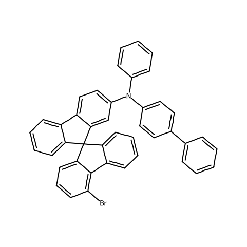 Brc1cccc2c1-c1ccccc1C21c2ccccc2-c2ccc(N(c3ccccc3)c3ccc(-c4ccccc4)cc3)cc21